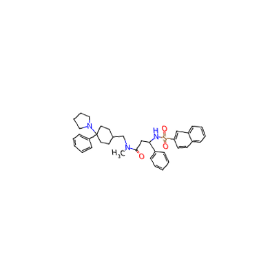 CN(CC1CCC(c2ccccc2)(N2CCCC2)CC1)C(=O)CC(NS(=O)(=O)c1ccc2ccccc2c1)c1ccccc1